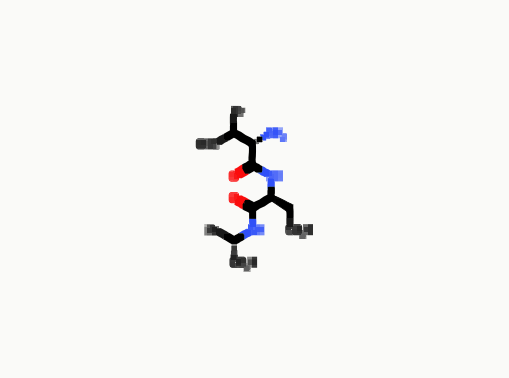 CC(C)C(C=O)[C@H](N)C(=O)N[C@@H](CC(=O)O)C(=O)N[C@H](C(=O)O)C(C)C